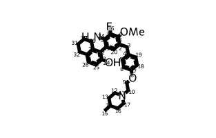 COc1c(Cc2ccc(OCCN3CCC(C)CC3)cc2)cc(-c2c(O)ccc3c2CCCC3)c(N)c1F